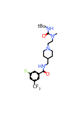 CN(CCN1CCC(CNC(=O)c2cc(F)cc(C(F)(F)F)c2)CC1)C(=O)NC(C)(C)C